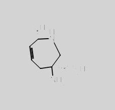 C[C@H]1C=CC[C@@](N)(C(=O)O)CN1